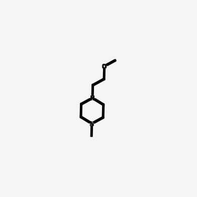 COCCN1CCN(C)CC1